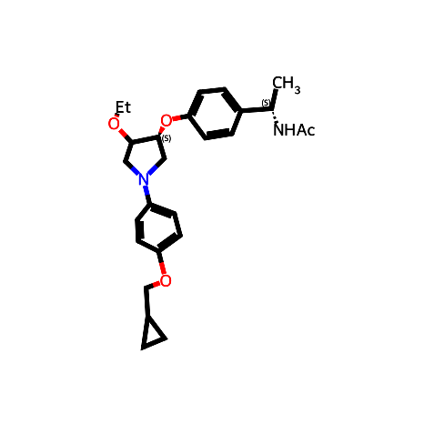 CCOC1CN(c2ccc(OCC3CC3)cc2)C[C@@H]1Oc1ccc([C@H](C)NC(C)=O)cc1